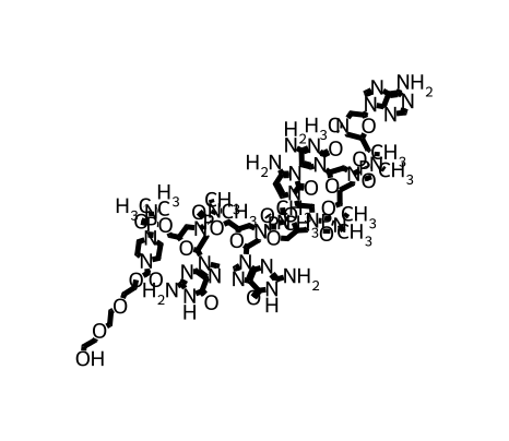 CN1CC(COP(=O)(N(C)C)N2CC(COP(=O)(N(C)C)N3CC(COP(=O)(N(C)C)N4CC(COP(=O)(N(C)C)N5CC(COP(=O)(N(C)C)N6CCN(C(=O)OCCOCCOCCO)CC6)OC(n6cnc7c(=O)[nH]c(N)nc76)C5)OC(n5cnc6c(=O)[nH]c(N)nc65)C4)OC(n4ccc(N)nc4=O)C3)OC(n3ccc(N)nc3=O)C2)OC(n2cnc3c(N)ncnc32)C1